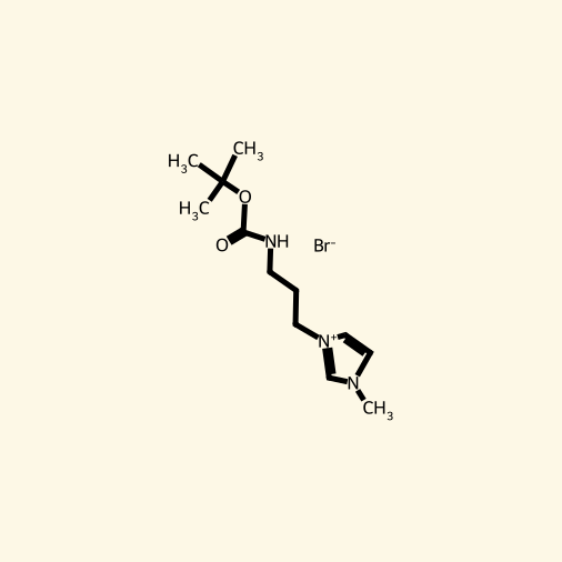 Cn1cc[n+](CCCNC(=O)OC(C)(C)C)c1.[Br-]